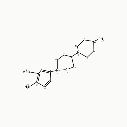 COc1cc(N2CCC(N3CCC(C)CC3)CC2)ccc1N